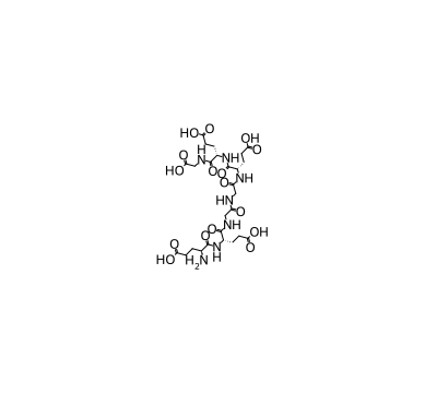 N[C@@H](CCC(=O)O)C(=O)N[C@@H](CCC(=O)O)C(=O)NCC(=O)NCC(=O)N[C@@H](CCC(=O)O)C(=O)N[C@@H](CCC(=O)O)C(=O)NCC(=O)O